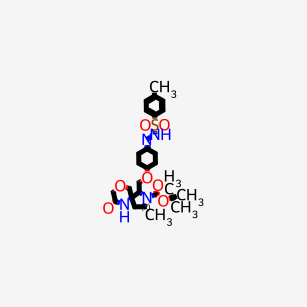 Cc1ccc(S(=O)(=O)NN=C2CCC(OCC3N(C(=O)OC(C)(C)C)[C@H](C)CC34COCC(=O)N4)CC2)cc1